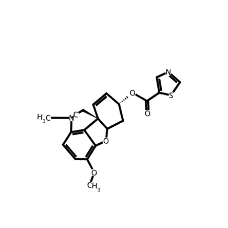 COc1ccc2c3c1OC1C[C@@H](OC(=O)c4cncs4)C=C[C@@]31CCN2C